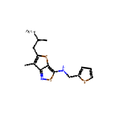 CC(=O)NC(C)Cc1sc2c(NCc3cccs3)snc2c1C